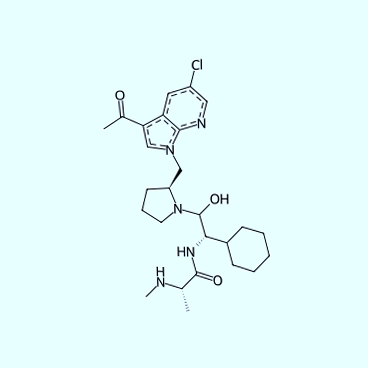 CN[C@@H](C)C(=O)N[C@@H](C1CCCCC1)C(O)N1CCC[C@H]1Cn1cc(C(C)=O)c2cc(Cl)cnc21